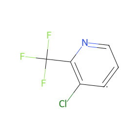 FC(F)(F)c1ncc[c]c1Cl